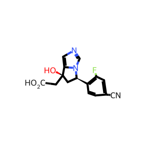 N#Cc1ccc([C@H]2C[C@](O)(CC(=O)O)c3cncn32)c(F)c1